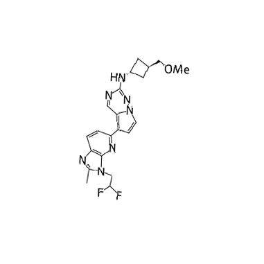 COC[C@H]1C[C@H](Nc2ncc3c(-c4ccc5nc(C)n(CC(F)F)c5n4)ccn3n2)C1